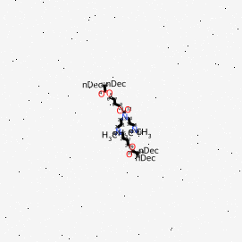 CCCCCCCCCCC(CCCCCCCCCC)C(=O)OCCCCOC(=O)N(CCCN(C)C)CCCN(C)CCCCOC(=O)C(CCCCCCCCCC)CCCCCCCCCC